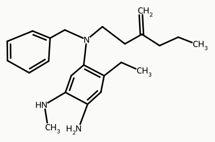 C=C(CCC)CCN(Cc1ccccc1)c1cc(NC)c(N)cc1CC